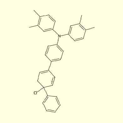 Cc1ccc(N(c2ccc(C3=CCC(Cl)(c4ccccc4)C=C3)cc2)c2ccc(C)c(C)c2)cc1C